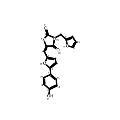 O=C1S/C(=C/c2ccc(-c3ccc(O)cc3)o2)C(=O)N1Cc1ccco1